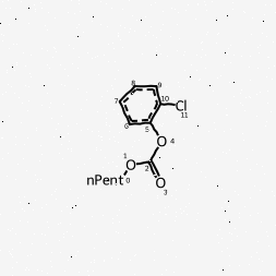 CCCCCOC(=O)Oc1ccccc1Cl